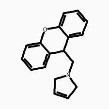 C1=CCN(CC2c3ccccc3Oc3ccccc32)C1